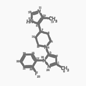 Cc1cc(N2CCC(c3[nH]cnc3C)CC2)n(-c2ccccc2F)n1